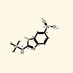 C[Si](C)(C)Nc1nc2ccc([N+](=O)[O-])cc2s1